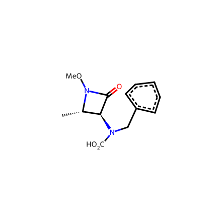 CON1C(=O)[C@@H](N(Cc2ccccc2)C(=O)O)[C@@H]1C